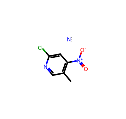 Cc1cnc(Cl)cc1[N+](=O)[O-].[N]